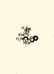 CC(C)C[C@@H](C(N)=O)[C@H](CNCS(C)(=O)=O)C(=O)N(O)[C@H](CO)Cc1ccccc1